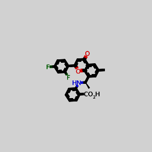 Cc1cc([C@@H](C)Nc2ccccc2C(=O)O)c2oc(-c3ccc(F)cc3F)cc(=O)c2c1